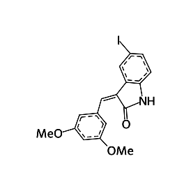 COc1cc(C=C2C(=O)Nc3ccc(I)cc32)cc(OC)c1